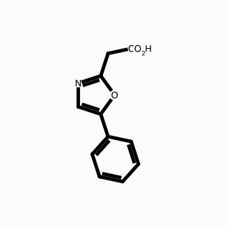 O=C(O)Cc1ncc(-c2ccccc2)o1